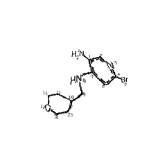 Nc1cnc(Br)cc1NCC1CCOCC1